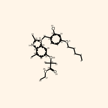 CCCCCOc1ccc(Cn2c(C)nc3c(C)cc(OC(C)(C)C(=O)OCC)cc32)c(Cl)c1